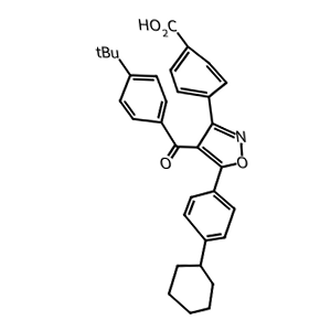 CC(C)(C)c1ccc(C(=O)c2c(-c3ccc(C(=O)O)cc3)noc2-c2ccc(C3CCCCC3)cc2)cc1